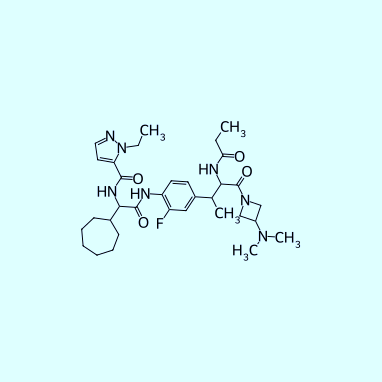 CCC(=O)NC(C(=O)N1CC(N(C)C)C1)C(C)c1ccc(NC(=O)C(NC(=O)c2ccnn2CC)C2CCCCCC2)c(F)c1